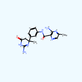 COc1cnc(C(=O)Nc2cccc(C3(C)CC(=O)NC(N)=N3)c2)c(N)n1